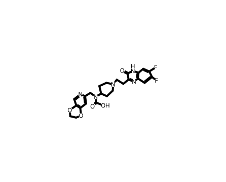 O=C(O)N(Cc1cc2c(cn1)OCCO2)C1CCN(CCc2nc3cc(F)c(F)cc3[nH]c2=O)CC1